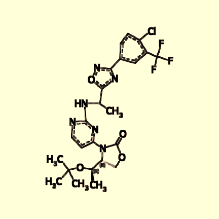 CC(Nc1nccc(N2C(=O)OC[C@@H]2[C@@H](C)OC(C)(C)C)n1)c1nc(-c2ccc(Cl)c(C(F)(F)F)c2)no1